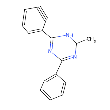 CC1N=C(c2ccccc2)N=C(c2c#cccc2)N1